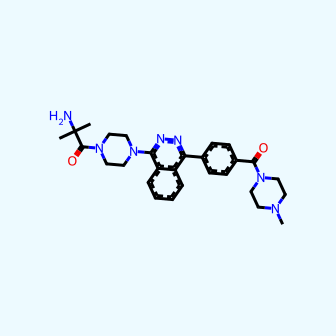 CN1CCN(C(=O)c2ccc(-c3nnc(N4CCN(C(=O)C(C)(C)N)CC4)c4ccccc34)cc2)CC1